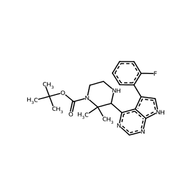 CC(C)(C)OC(=O)N1CCNC(c2ncnc3[nH]cc(-c4ccccc4F)c23)C1(C)C